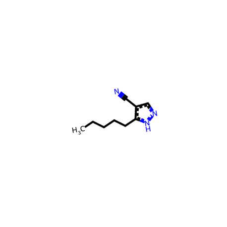 CCCCCc1[nH]ncc1C#N